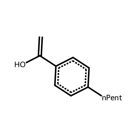 C=C(O)c1ccc(CCCCC)cc1